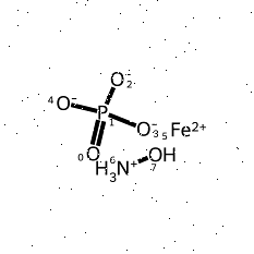 O=P([O-])([O-])[O-].[Fe+2].[NH3+]O